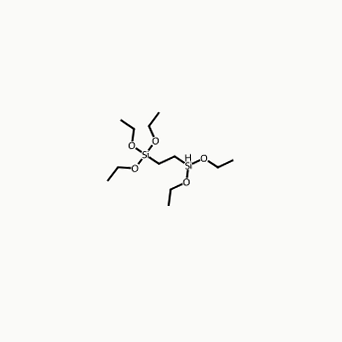 CCO[SiH](CC[Si](OCC)(OCC)OCC)OCC